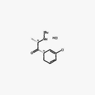 C[C@H](NC(C)(C)C)C(=O)[C@@H]1C=C(Cl)C=CC1.Cl